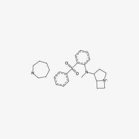 C1CCC[N]CC1.CN(c1ccccc1S(=O)(=O)c1ccccc1)C1CC[N+]2CCC12